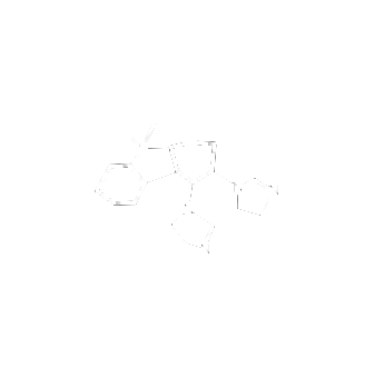 O=S1(=O)c2ccccc2-c2c1ccc(N1C=NCC1)c2N1C=NCC1